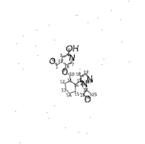 O=Cc1cc(O)ncc1OCC1CCCCC1c1ccnn1C1COC1